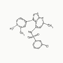 Cc1cc(NS(=O)(=O)c2cccc(Cl)c2)c2c(-c3ccc(C)c(C)c3)csc2n1